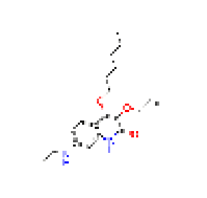 C=CCOc1c(OCCCCCC)c2ccc(NCC)cc2[nH]c1=O